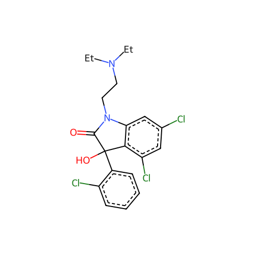 CCN(CC)CCN1C(=O)C(O)(c2ccccc2Cl)c2c(Cl)cc(Cl)cc21